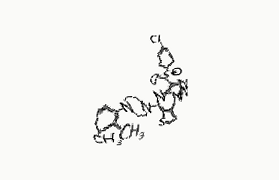 Cc1cccc(N2CCN(c3nc4c(S(=O)(=O)c5ccc(Cl)cc5)nnn4c4ccsc34)CC2)c1C